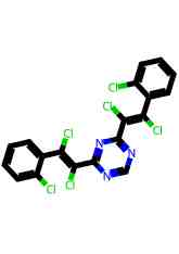 ClC(=C(Cl)c1ccccc1Cl)c1ncnc(C(Cl)=C(Cl)c2ccccc2Cl)n1